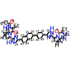 CC[C@H](NC(=O)O)C(=O)N1[C@@H]2C[C@@H]2C[C@H]1c1nc(-c2ccc(-c3ccc4cc(-c5c[nH]c([C@@H]6C[C@H]7C[C@H]7N6C(=O)[C@H](CC)NC(=O)OC)n5)ccc4c3)cc2)c[nH]1